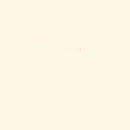 O.Oc1cc2ccccc2o1